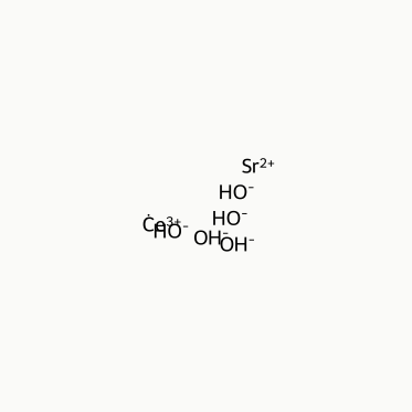 [Ce+3].[OH-].[OH-].[OH-].[OH-].[OH-].[Sr+2]